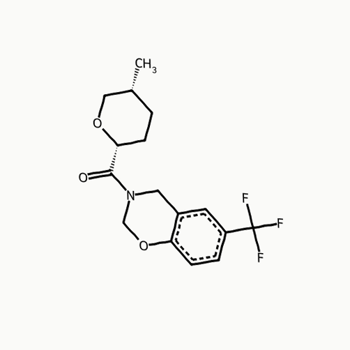 C[C@@H]1CC[C@H](C(=O)N2COc3ccc(C(F)(F)F)cc3C2)OC1